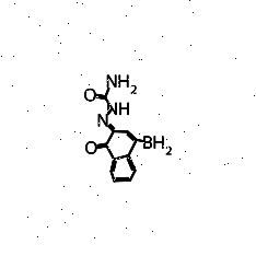 BC1=C/C(=N\NC(N)=O)C(=O)c2ccccc21